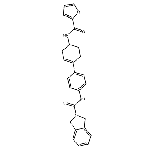 O=C(NC1CC=C(c2ccc(NC(=O)N3Cc4ccccc4C3)cc2)CC1)c1ccco1